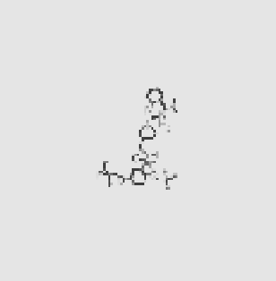 C=C(/N=C1/C=CC=C/C1=C(/N)N(C)C)N1CCC(CNS(=O)(=O)c2cc(OCC(F)(F)F)ccc2OCC(F)(F)F)CC1